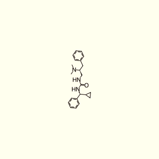 CN(C)[C@H](CNC(=O)N[C@H](c1ccccc1)C1CC1)Cc1ccccc1